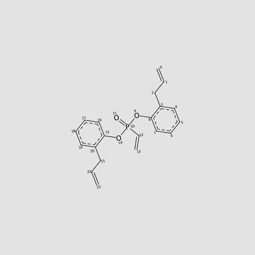 C=CCc1ccccc1OP(=O)(C=C)Oc1ccccc1CC=C